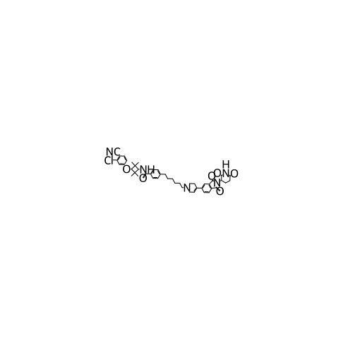 CC1(C)[C@H](NC(=O)c2ccc(CCCCCCN3CC=C(c4ccc5c(c4)C(=O)N(C4CCC(=O)NC4=O)C5=O)CC3)cc2)C(C)(C)[C@H]1Oc1ccc(C#N)c(Cl)c1